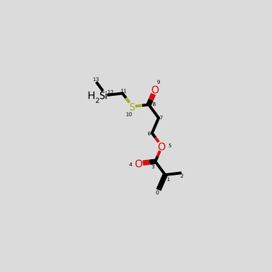 C=C(C)C(=O)OCCC(=O)SC[SiH2]C